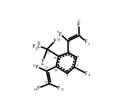 FC(F)=C(F)c1cc(F)cc(C(F)=C(F)F)c1C(F)(F)C(F)(F)F